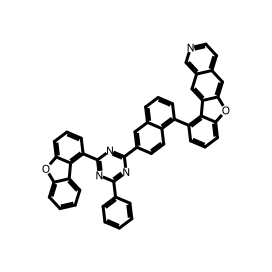 c1ccc(-c2nc(-c3ccc4c(-c5cccc6oc7cc8ccncc8cc7c56)cccc4c3)nc(-c3cccc4oc5ccccc5c34)n2)cc1